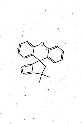 CC1(C)CC2(c3ccccc3Oc3ccccc32)c2ccccc21